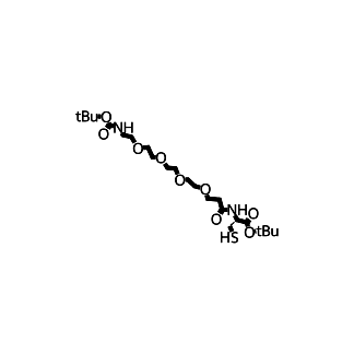 CC(C)(C)OC(=O)NCCOCCOCCOCCOCCC(=O)N[C@@H](CS)C(=O)OC(C)(C)C